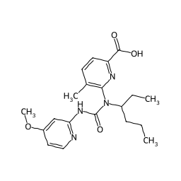 CCCC(CC)N(C(=O)Nc1cc(OC)ccn1)c1nc(C(=O)O)ccc1C